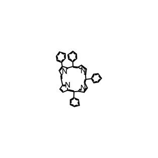 C1=CC2=C(c3ccccc3)C3=NC(=C(c4ccccc4)C4=NC(=C(c5ccccc5)C5=NC(=CC1=N2)C=C5c1ccccc1)C=C4)C=C3